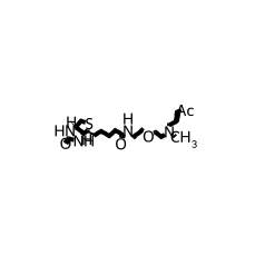 CC(=O)/C=C/CN(C)CCOCCNC(=O)CCCC[C@@H]1SC[C@@H]2NC(=O)N[C@@H]21